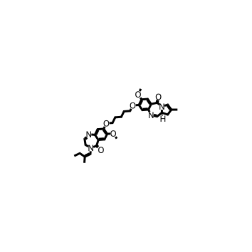 CC/C(C)=C\N1CC=Nc2cc(OCCCCCOc3cc4c(cc3OC)C(=O)N3C=C(C)C[C@H]3C=N4)c(OC)cc2C1=O